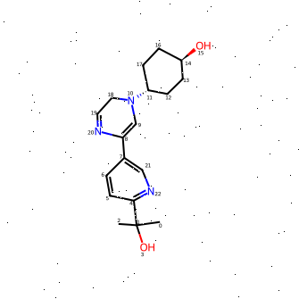 CC(C)(O)c1ccc(C2=CN([C@H]3CC[C@H](O)CC3)CC=N2)cn1